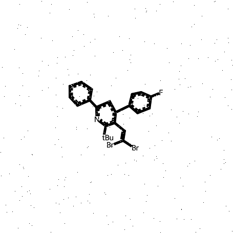 CC(C)(C)c1nc(-c2ccccc2)cc(-c2ccc(F)cc2)c1C=C(Br)Br